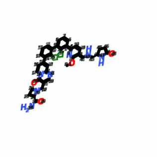 COc1nc(-c2cccc(-c3cccc(-c4ccn5c(=O)c(CN6CC[C@H]6C(N)=O)cnc5c4)c3Cl)c2Cl)ccc1CNC[C@H]1CCC(=O)N1